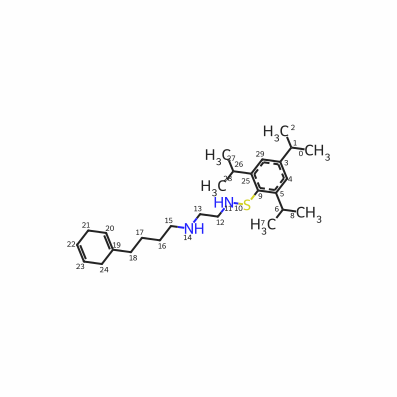 CC(C)c1cc(C(C)C)c(SNCCNCCCCC2=CCC=CC2)c(C(C)C)c1